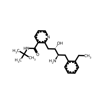 CCc1ccccc1C[C@@H](N)[C@@H](O)Cc1ncccc1C(=O)NC(C)(C)C